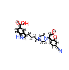 N#Cc1ccc2c(N3CCN(CCCCc4c[nH]c5ccc(C(=O)O)cc45)CC3)cc(=O)oc2c1